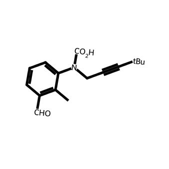 Cc1c(C=O)cccc1N(CC#CC(C)(C)C)C(=O)O